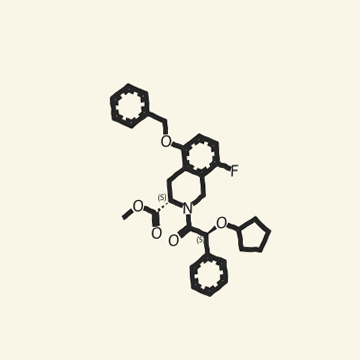 COC(=O)[C@@H]1Cc2c(OCc3ccccc3)ccc(F)c2CN1C(=O)[C@@H](OC1CCCC1)c1ccccc1